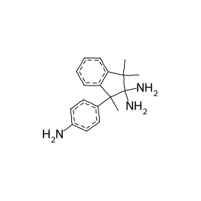 CC1(C)c2ccccc2C(C)(c2ccc(N)cc2)C1(N)N